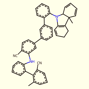 Cc1cccc(C#N)c1-c1ccccc1Nc1cc(-c2cccc(-c3ccccc3N3C4=C(CCC=C4)C4(C)C=CC=CC34)c2)ccc1C#N